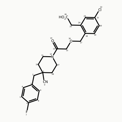 N#CC1(Cc2ccc(F)cc2)CCN(C(=O)COCc2ccc(Cl)cc2CC(=O)O)CC1